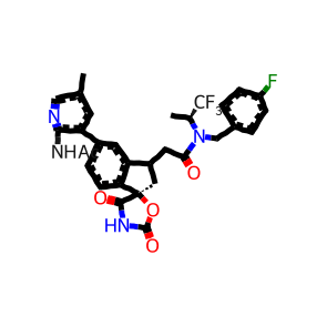 CC(=O)Nc1ncc(C)cc1-c1ccc2c(c1)C(CC(=O)N(Cc1ccc(F)cc1)[C@@H](C)C(F)(F)F)C[C@@]21OC(=O)NC1=O